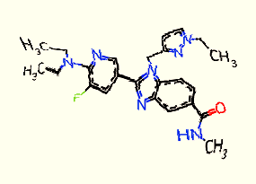 CCN(CC)c1ncc(-c2nc3cc(C(=O)NC)ccc3n2Cc2ccn(CC)n2)cc1F